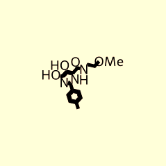 COCCNC(=O)c1nc(-c2ccc(C)cc2)nc(O)c1O